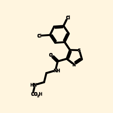 O=C(O)NCCNC(=O)c1ncsc1-c1cc(Cl)cc(Cl)c1